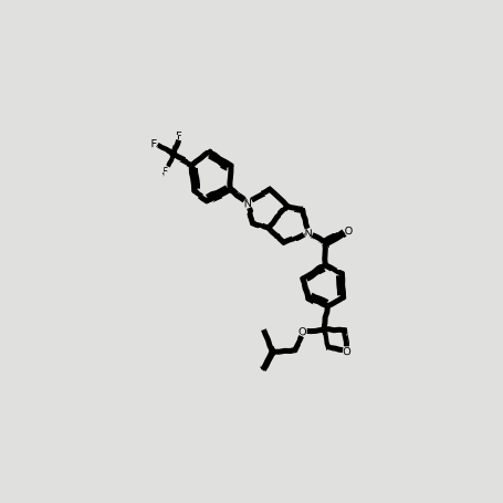 CC(C)COC1(c2ccc(C(=O)N3CC4CN(c5ccc(C(F)(F)F)cc5)CC4C3)cc2)COC1